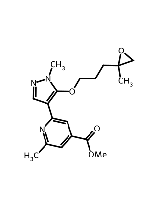 COC(=O)c1cc(C)nc(-c2cnn(C)c2OCCCC2(C)CO2)c1